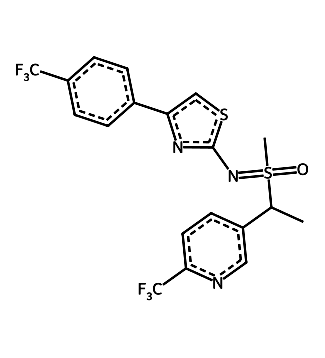 CC(c1ccc(C(F)(F)F)nc1)S(C)(=O)=Nc1nc(-c2ccc(C(F)(F)F)cc2)cs1